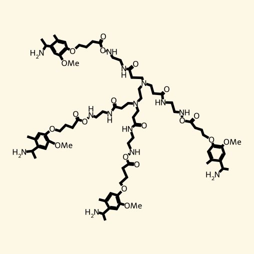 COc1cc(C(C)N)c(C)cc1OCCCC(=O)ONCCNC(=O)CCN(CCC(=O)NCCNOC(=O)CCCOc1cc(C)c(C(C)N)cc1OC)CCN(CCC(=O)NCCNOC(=O)CCCOc1cc(C)c(C(C)N)cc1OC)CCC(=O)NCCNOC(=O)CCCOc1cc(C)c(C(C)N)cc1OC